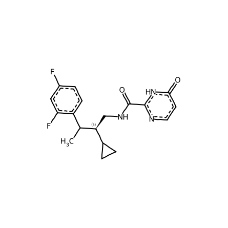 CC(c1ccc(F)cc1F)[C@@H](CNC(=O)c1nccc(=O)[nH]1)C1CC1